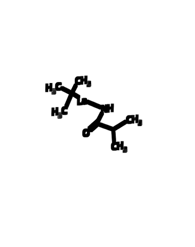 CC(C)C(=O)[NH][La][C](C)(C)C